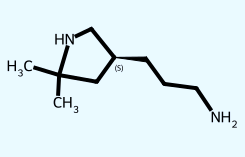 CC1(C)C[C@H](CCCN)CN1